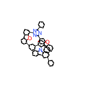 c1ccc(-c2ccc(-c3nc(-c4ccccc4)nc(-c4cccc5c4oc4c(-c6cccc(-c7ccc8oc9ccccc9c8c7-n7c8ccccc8c8cc(-c9ccccc9)ccc87)c6)cccc45)n3)cc2)cc1